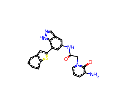 Nc1cccn(CC(=O)Nc2cc(-c3cc4ccccc4s3)c3[nH]ncc3c2)c1=O